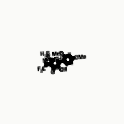 COc1ccc(-c2[nH]c3c(c(C(F)(F)F)nn3C)c(=O)c2O)c(OC)c1